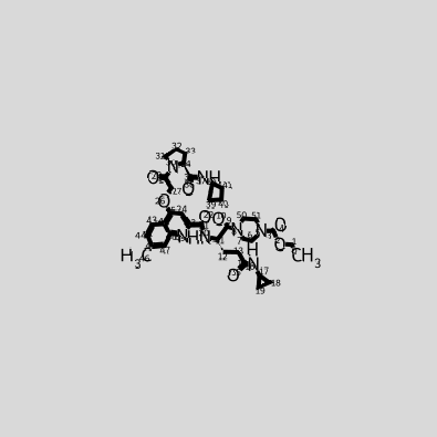 CCOC(=O)N1CCN(C(=O)[C@H](CCC(=O)NC2CC2)NC(=O)c2cc(OCC(=O)N3CCC[C@H]3C(=O)NC3CCC3)c3ccc(C)cc3n2)CC1